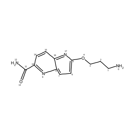 NCCCOc1ccc2nc(C(N)=O)c[c]c2n1